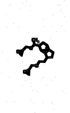 CC(OCC1CO1)C1CC2CC1C1C(CCOCC3CO3)CCC21